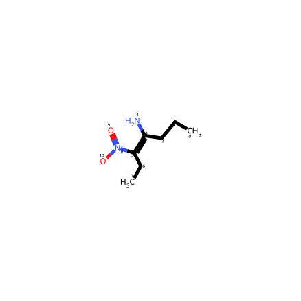 CCC/C(N)=C(\CC)[N+](=O)[O-]